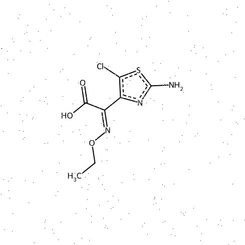 CCON=C(C(=O)O)c1nc(N)sc1Cl